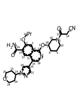 CC(C)Oc1cc2c(O[C@@H]3CCCN(C(=O)CC#N)C3)ncc(-c3cnn(C4CCOCC4)c3)c2cc1C(N)=O